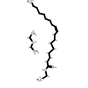 CCCCCCCC/C=C\CCCCCCCC(=O)OCC.CCOCC